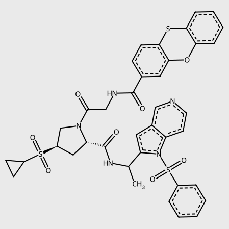 CC(NC(=O)[C@@H]1C[C@@H](S(=O)(=O)C2CC2)CN1C(=O)CNC(=O)c1ccc2c(c1)Oc1ccccc1S2)c1cc2cnccc2n1S(=O)(=O)c1ccccc1